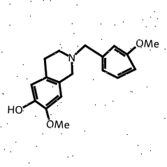 COc1cccc(CN2CCc3cc(O)c(OC)cc3C2)c1